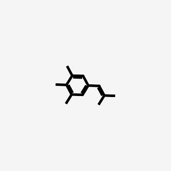 CC(C)=Cc1cc(C)c(C)c(C)c1